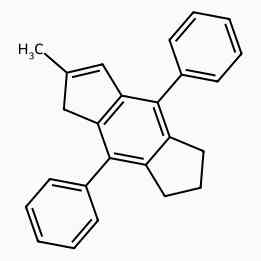 CC1=Cc2c(c(-c3ccccc3)c3c(c2-c2ccccc2)CCC3)C1